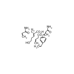 C=CC(N)=O.C=CC(N)=O.C=CCC(=O)O.C=Cc1ccccc1.CC(=CCCO)C(=O)O